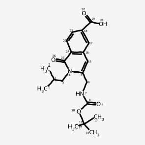 CC(C)Cn1c(CNC(=O)OC(C)(C)C)cc2cc(C(=O)O)ccc2c1=O